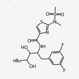 CCCCC(O)C(O)C(Cc1cc(F)cc(F)c1)NC(=O)c1csc(N(C)S(C)(=O)=O)n1